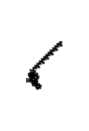 CCOP(=O)(OC/C=C(\C)CC/C=C(\C)CC/C=C(\C)CC/C=C(\C)CC/C=C(\C)CC/C=C(\C)CCC=C(C)C)Oc1c(CC)c(C)c(OC(=O)c2ccccc2)c2ccccc12